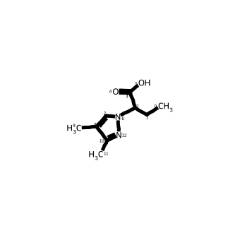 CCC(C(=O)O)n1cc(C)c(C)n1